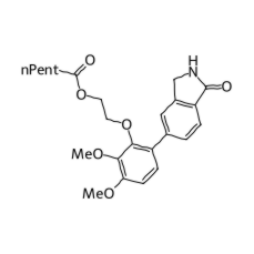 CCCCCC(=O)OCCOc1c(-c2ccc3c(c2)CNC3=O)ccc(OC)c1OC